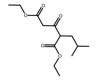 CCOC(=O)CC(=O)C(CC(C)C)C(=O)OCC